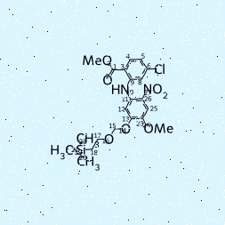 COC(=O)c1ccc(Cl)cc1Nc1cc(OCOCC[Si](C)(C)C)c(OC)cc1[N+](=O)[O-]